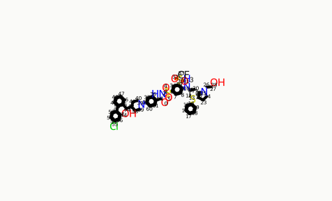 O=C(NS(=O)(=O)c1ccc(N[C@@H](CSc2ccccc2)C[C@H]2CCCN2CCO)c(S(=O)(=O)C(F)(F)F)c1)c1ccc(N2CCC([C@@H](O)c3ccccc3-c3ccc(Cl)cc3)CC2)cc1